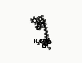 C=C(c1ccccc1)[C@@]12CCCC1CC(CCCCCCCCOP(=O)(OCC)OCC)=C2c1ccccc1